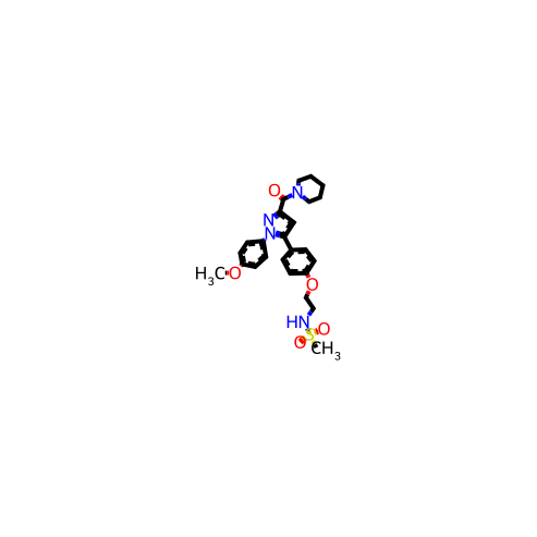 COc1ccc(-n2nc(C(=O)N3CCCCC3)cc2-c2ccc(OCCNS(C)(=O)=O)cc2)cc1